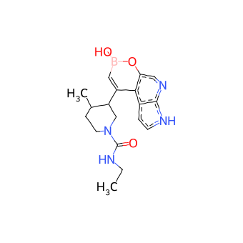 CCNC(=O)N1CCC(C)C(C2=CB(O)Oc3cnc4[nH]ccc4c32)C1